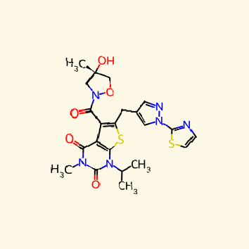 CC(C)n1c(=O)n(C)c(=O)c2c(C(=O)N3C[C@](C)(O)CO3)c(Cc3cnn(-c4nccs4)c3)sc21